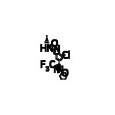 C[C@@H]1C[C@H]1C(=O)Nc1cc2cc(-c3cn(C4CCCCO4)nc3C(F)(F)F)cc(Cl)c2cn1